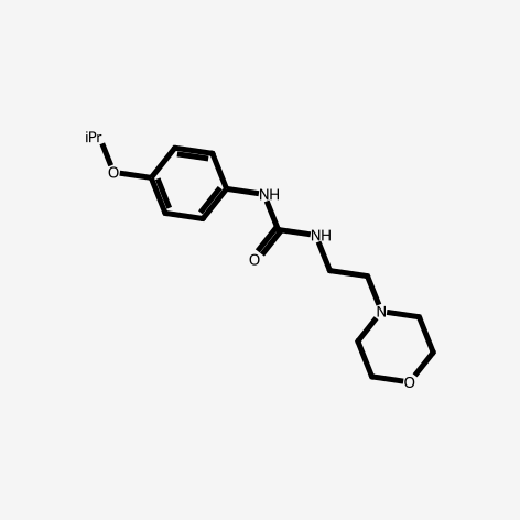 CC(C)Oc1ccc(NC(=O)NCCN2CCOCC2)cc1